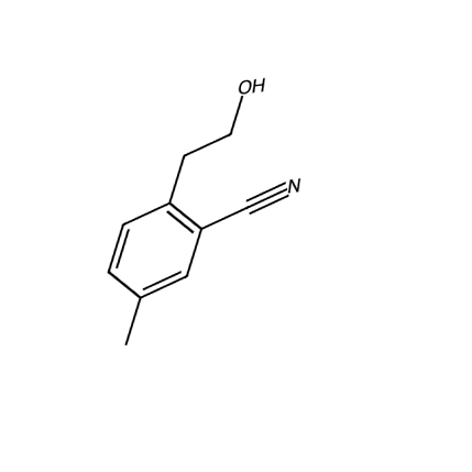 Cc1ccc(CCO)c(C#N)c1